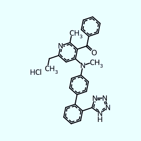 CCc1cc(N(C)c2ccc(-c3ccccc3-c3nnn[nH]3)cc2)c(C(=O)c2ccccc2)c(C)n1.Cl